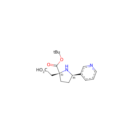 CC(C)(C)OC(=O)[C@@]1(CC(=O)O)CC[C@H](c2cccnc2)N1